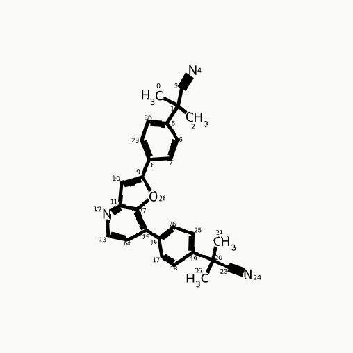 CC(C)(C#N)c1ccc(-c2cc3nccc(-c4ccc(C(C)(C)C#N)cc4)c3o2)cc1